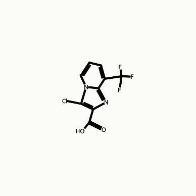 O=C(O)c1nc2c(C(F)(F)F)cccn2c1Cl